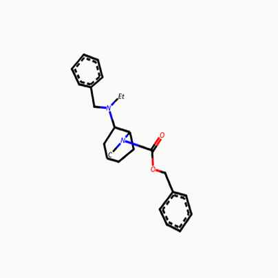 CCN(Cc1ccccc1)C1CC2CCC1N(C(=O)OCc1ccccc1)C2